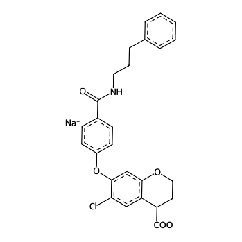 O=C(NCCCc1ccccc1)c1ccc(Oc2cc3c(cc2Cl)C(C(=O)[O-])CCO3)cc1.[Na+]